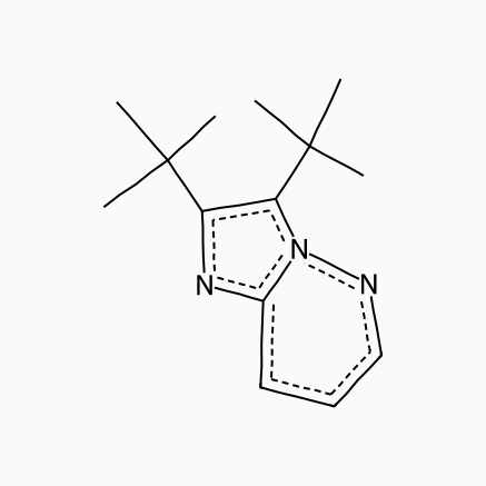 CC(C)(C)c1nc2cccnn2c1C(C)(C)C